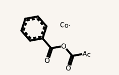 CC(=O)C(=O)OC(=O)c1ccccc1.[Co]